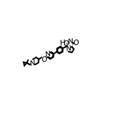 CC1(CN2CCC(COc3ccc(-c4ccc(C(=O)N5CCC[C@H]5C(N)=O)cc4)cn3)CC2)CC1